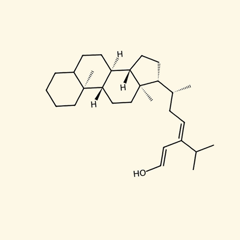 CC(C)C(C=CO)=CC[C@@H](C)[C@H]1CC[C@H]2[C@@H]3CCC4CCCC[C@]4(C)[C@H]3CC[C@]12C